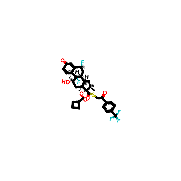 C[C@@H]1C[C@H]2[C@@H]3C[C@H](F)C4=CC(=O)C=C[C@]4(C)[C@@]3(F)[C@@H](O)C[C@]2(C)[C@]1(OC(=O)C1CCC1)C(=O)SCC(=O)c1ccc(C(F)(F)F)cc1